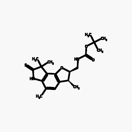 Cc1cc2c(c3c1NC(=S)C3(C)C)O[C@@H](CNC(=O)OC(C)(C)C)[C@@H]2C